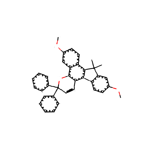 COc1ccc2c(c1)C(C)(C)c1c-2c2c(c3cc(OC)ccc13)OC(c1ccccc1)(c1ccccc1)C=C2